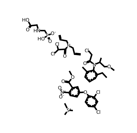 C=CCN(CC=C)C(=O)C(Cl)Cl.CCc1cccc(C)c1N(C(=O)CCl)C(C)COC.COC(=O)c1cc(Oc2ccc(Cl)cc2Cl)ccc1[N+](=O)[O-].C[S+](C)C.O=C(O)CNCP(=O)([O-])O